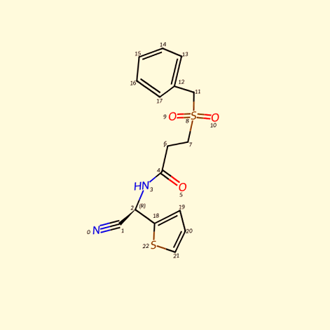 N#C[C@@H](NC(=O)[CH]CS(=O)(=O)Cc1ccccc1)c1cccs1